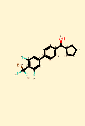 OC(c1ccc(-c2cc(F)c(C(F)(F)Br)c(F)c2)cc1)C1CCCC1